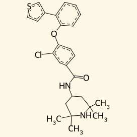 CC1(C)CC(NC(=O)c2ccc(Oc3ccccc3-c3ccsc3)c(Cl)c2)CC(C)(C)N1